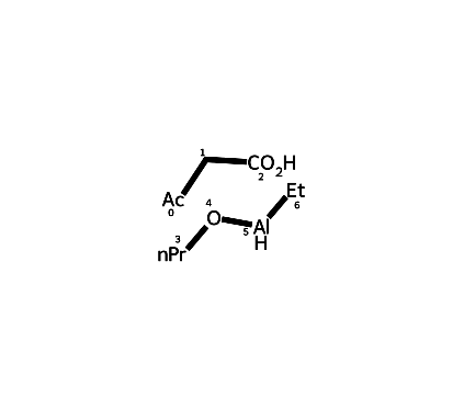 CC(=O)CC(=O)O.CCC[O][AlH][CH2]C